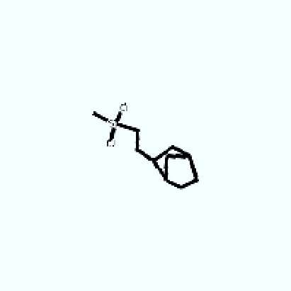 C[Si](Cl)(Cl)CCC1CC2CCC1C2